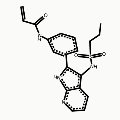 C=CC(=O)Nc1cccc(-c2[nH]c3ncccc3c2NS(=O)(=O)CCC)c1